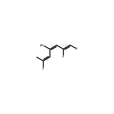 C\C(F)=C/C(=C\C(F)=C\F)C(C)C